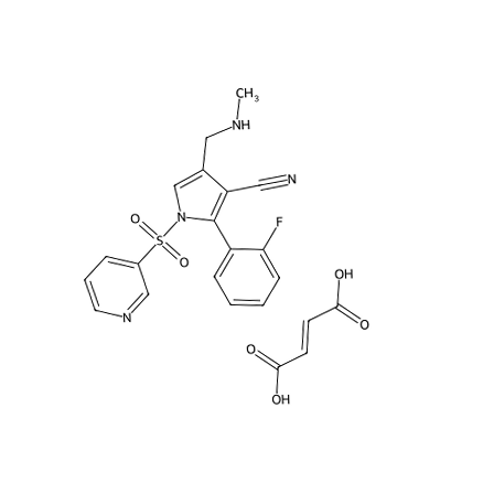 CNCc1cn(S(=O)(=O)c2cccnc2)c(-c2ccccc2F)c1C#N.O=C(O)C=CC(=O)O